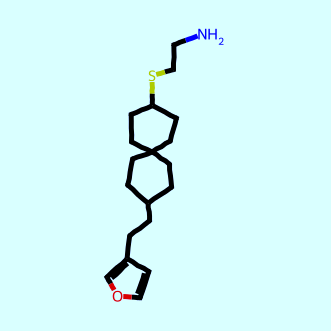 NCCSC1CCC2(CCC(CCc3ccoc3)CC2)CC1